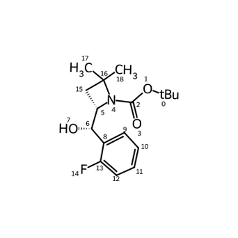 CC(C)(C)OC(=O)N1[C@H]([C@@H](O)c2ccccc2F)CC1(C)C